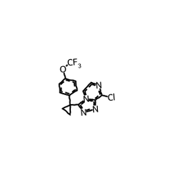 FC(F)(F)Oc1ccc(C2(c3nnc4c(Cl)nccn34)CC2)cc1